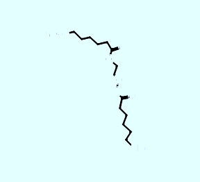 CCCCCCCCCCCCCCCC(=O)OCCOOC(=O)CCCCCCCCCCCCCCC